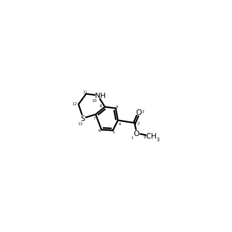 COC(=O)c1ccc2c(c1)NCCS2